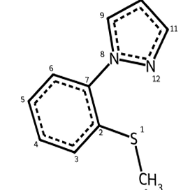 CSc1ccccc1-n1cccn1